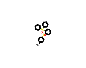 N#Cc1ccc(S(=O)OS(c2ccccc2)(c2ccccc2)c2ccccc2)cc1